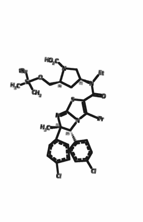 CCN(C(=O)C1=C(C(C)C)N2C(=N[C@@](C)(c3ccc(Cl)cc3)[C@H]2c2ccc(Cl)cc2)S1)[C@H]1C[C@@H](CO[Si](C)(C)C(C)(C)C)N(C(=O)O)C1